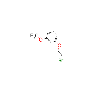 FC(F)(F)Oc1cccc(OCCBr)c1